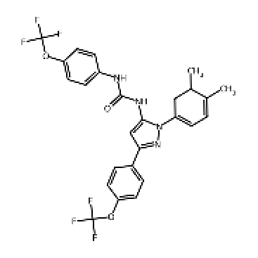 CC1=CC=C(n2nc(-c3ccc(OC(F)(F)F)cc3)cc2NC(=O)Nc2ccc(OC(F)(F)F)cc2)CC1C